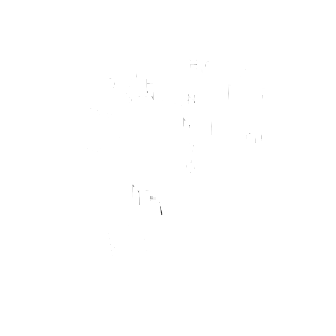 Cc1cccc(C)c1-c1cc2nc(n1)NS(=O)(=O)c1cccc(c1)CN[C@H](Cc1ccccc1)CO2